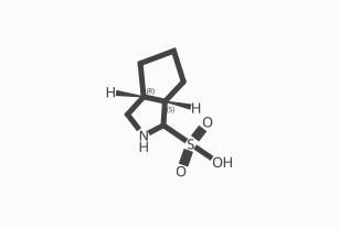 O=S(=O)(O)C1NC[C@@H]2CCC[C@H]12